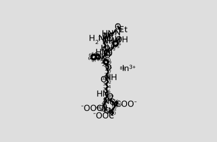 CCC(=O)NCCNC(=O)/N=C(/N)NCCC[C@@H](NC(=O)[C@H](c1ccc(OCCCNC(=O)CCCCCNC(=O)CN2CCN(CC(=O)[O-])CCN(CC(=O)[O-])CCN(CC(=O)[O-])CC2)cc1)N1Cc2ccccc2C1)C(=O)NCc1ccc(O)cc1.[In+3]